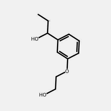 C[CH]C(O)c1cccc(OCCO)c1